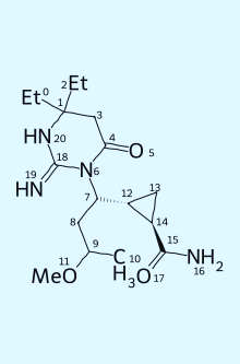 CCC1(CC)CC(=O)N(C(CC(C)OC)[C@@H]2C[C@H]2C(N)=O)C(=N)N1